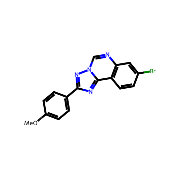 COc1ccc(-c2nc3c4ccc(Br)cc4ncn3n2)cc1